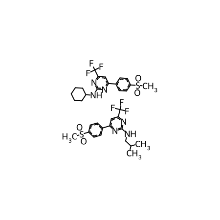 CC(C)CNc1nc(-c2ccc(S(C)(=O)=O)cc2)cc(C(F)(F)F)n1.CS(=O)(=O)c1ccc(-c2cc(C(F)(F)F)nc(NC3CCCCC3)n2)cc1